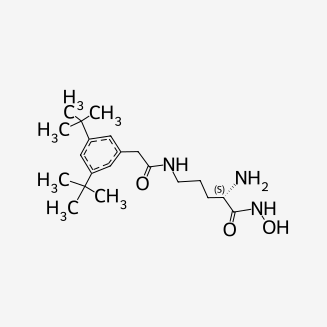 CC(C)(C)c1cc(CC(=O)NCCC[C@H](N)C(=O)NO)cc(C(C)(C)C)c1